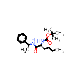 CCCC[C@H](NC(=O)OC(C)(C)C)C(=O)N[C@@H](C)c1ccccc1